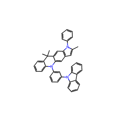 Cc1cc2cc3c(cc2n1-c1ccccc1)C(C)(C)c1ccccc1N3c1cccc(-n2c3ccccc3c3ccccc32)c1